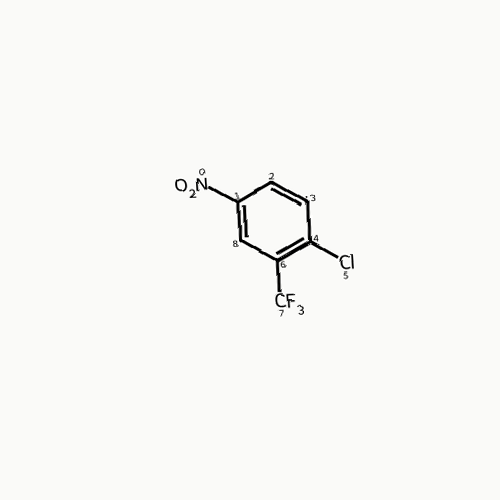 O=[N+]([O-])c1c[c]c(Cl)c(C(F)(F)F)c1